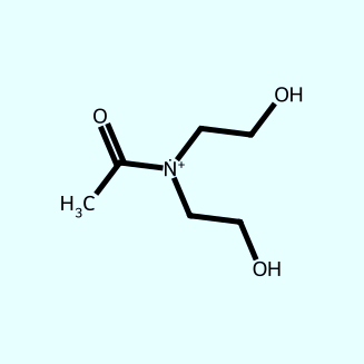 CC(=O)[N+](CCO)CCO